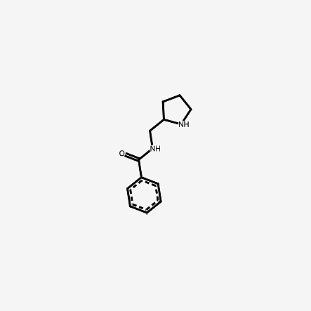 O=C(NCC1CCCN1)c1cc[c]cc1